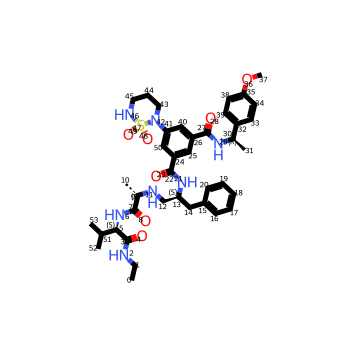 CCNC(=O)[C@@H](NC(=O)[C@H](C)NC[C@H](Cc1ccccc1)NC(=O)c1cc(C(=O)N[C@H](C)c2ccc(OC)cc2)cc(N2CCCNS2(=O)=O)c1)C(C)C